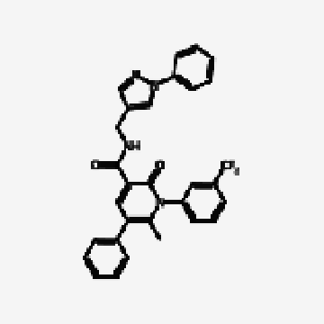 Cc1c(-c2ccccc2)cc(C(=O)NCc2cnn(-c3ccccc3)c2)c(=O)n1-c1cccc(C(F)(F)F)c1